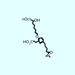 CCCCCCCCC(O)CCCC/C=C/Oc1ccc(CCCCC(=O)N(C)C)cc1CCC(=O)O